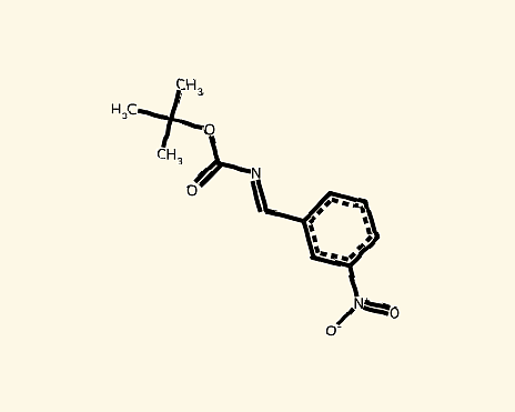 CC(C)(C)OC(=O)N=Cc1cccc([N+](=O)[O-])c1